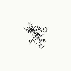 COc1ccccc1CCC[Si](C)(C)O[Si](C)(O[Si](C)(C)CCCc1ccccc1OC(C)=O)O[Si](C)(C)C[Si](C)(C)O[Si](C)(C)C